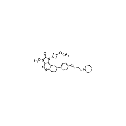 CO[C@H]1C[C@H](n2c(=O)n(C)c3nnc4ccc(-c5ccc(OCCCN6CCCCC6)cc5)cc4c32)C1